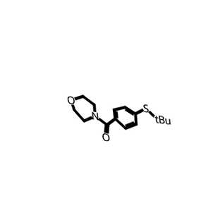 CC(C)(C)Sc1ccc(C(=O)N2CCOCC2)cc1